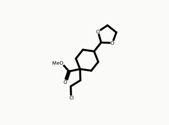 COC(=O)C1(CCCl)CCC(C2OCCO2)CC1